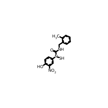 Cc1ccccc1CNC(=O)N(S)c1ccc(O)c([N+](=O)[O-])c1